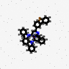 c1ccc(-c2nc(-c3ccc4sc5ccccc5c4c3)cc(-n3c4ccccc4c4ccc5c6ccccc6n(-c6ccccc6)c5c43)n2)cc1